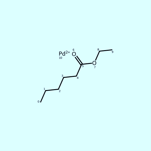 CCCCCC(=O)OCC.[Pd+2]